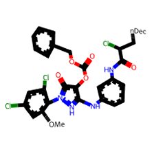 CCCCCCCCCCCC(Cl)C(=O)Nc1cccc(Nc2[nH]n(-c3c(Cl)cc(Cl)cc3OC)c(=O)c2OC(=O)OCc2ccccc2)c1